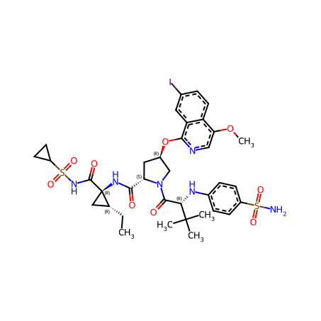 CC[C@@H]1C[C@]1(NC(=O)[C@@H]1C[C@@H](Oc2ncc(OC)c3ccc(I)cc23)CN1C(=O)[C@H](Nc1ccc(S(N)(=O)=O)cc1)C(C)(C)C)C(=O)NS(=O)(=O)C1CC1